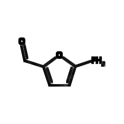 O=Cc1ccc(P)o1